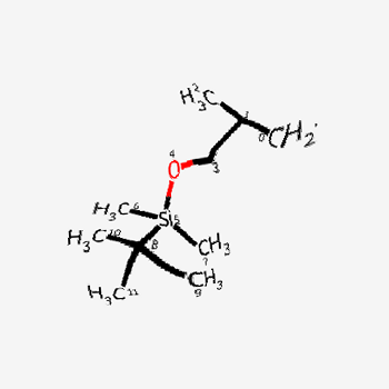 [CH2]C(C)CO[Si](C)(C)C(C)(C)C